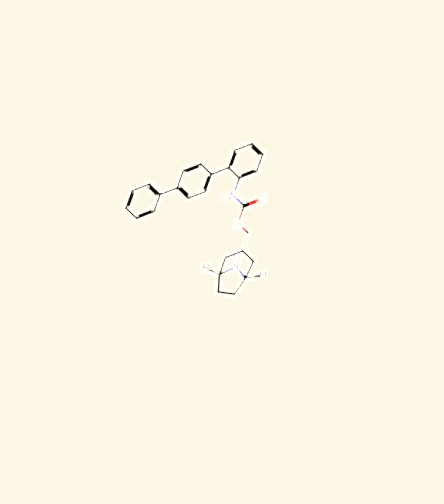 O=C(Nc1ccccc1-c1ccc(-c2ccccc2)cc1)OC[C@H]1C[C@H]2CC[C@@H](C1)N2